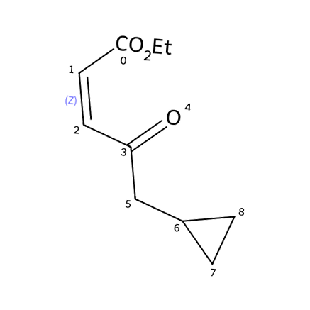 CCOC(=O)/C=C\C(=O)CC1CC1